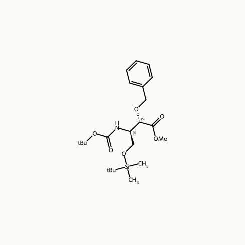 COC(=O)[C@@H](OCc1ccccc1)[C@@H](CO[Si](C)(C)C(C)(C)C)NC(=O)OC(C)(C)C